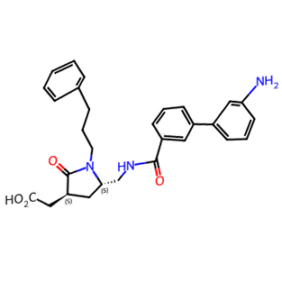 Nc1cccc(-c2cccc(C(=O)NC[C@@H]3C[C@@H](CC(=O)O)C(=O)N3CCCc3ccccc3)c2)c1